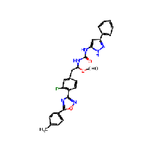 Cc1ccc(-c2nc(-c3ccc(CC(NC(=O)Nc4cc(-c5ccccc5)n[nH]4)OC=O)cc3F)no2)cc1